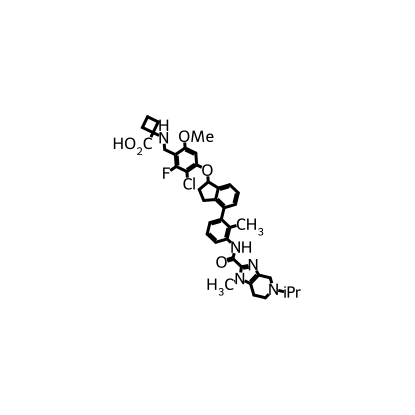 COc1cc(OC2CCc3c(-c4cccc(NC(=O)c5nc6c(n5C)CCN(C(C)C)C6)c4C)cccc32)c(Cl)c(F)c1CNC1(C(=O)O)CCC1